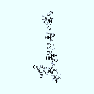 O=C1C[C@H]2CSC(CCCCC(=O)NCCCCCC(=O)NNC(=O)/C=C/c3nn(Cc4ccc(Cl)cc4Cl)c4cc(C(F)(F)F)ccc34)[C@H]2C1